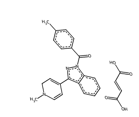 Cc1ccc(C(=O)n2nc(C3=CCN(C)C=C3)c3ccccc32)cc1.O=C(O)C=CC(=O)O